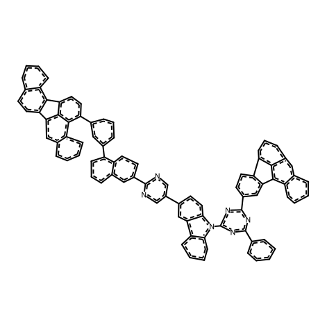 c1ccc(-c2nc(-c3ccc4c(c3)-c3c5ccccc5cc5cccc-4c35)nc(-n3c4ccccc4c4cc(-c5cnc(-c6ccc7c(-c8cccc(-c9ccc%10c%11c(cc%12ccccc%12c9%11)-c9ccc%11ccccc%11c9-%10)c8)cccc7c6)nc5)ccc43)n2)cc1